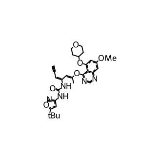 C#C/C=C(\C=C(/C)Oc1ncnc2cc(OC)cc(OC3CCOCC3)c12)NC(=O)Nc1cc(C(C)(C)C)on1